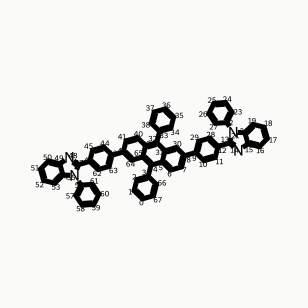 c1ccc(-c2c3ccc(-c4ccc(-c5nc6ccccc6n5-c5ccccc5)cc4)cc3c(-c3ccccc3)c3ccc(-c4ccc(-c5nc6ccccc6n5-c5ccccc5)cc4)cc23)cc1